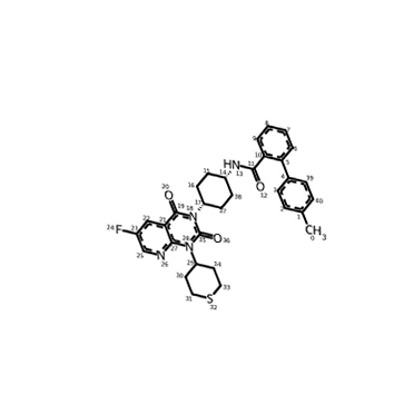 Cc1ccc(-c2ccccc2C(=O)N[C@H]2CC[C@@H](n3c(=O)c4cc(F)cnc4n(C4CCSCC4)c3=O)CC2)cc1